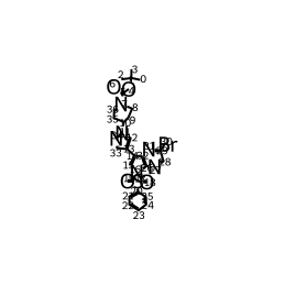 CC(C)(C)OC(=O)N1CCC(n2cc(-c3cn(S(=O)(=O)c4ccccc4)c4ncc(Br)nc34)cn2)CC1